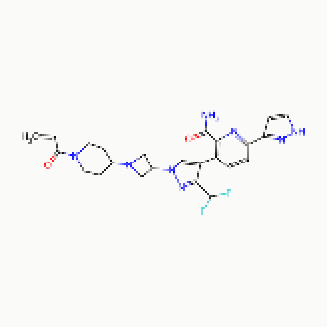 C=CC(=O)N1CCC(N2CC(n3cc(-c4ccc(-c5cc[nH]n5)nc4C(N)=O)c(C(F)F)n3)C2)CC1